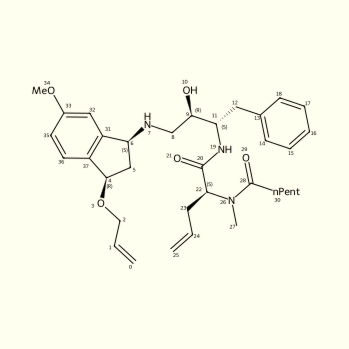 C=CCO[C@@H]1C[C@H](NC[C@@H](O)[C@H](Cc2ccccc2)NC(=O)[C@H](CC=C)N(C)C(=O)CCCCC)c2cc(OC)ccc21